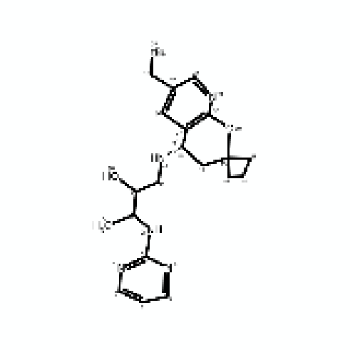 CC(Nc1ncccn1)C(O)CN[C@H]1CC2(CCC2)Oc2ncc(CC(C)(C)C)cc21